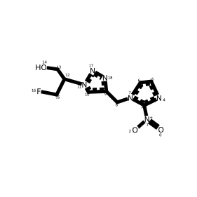 O=[N+]([O-])c1nccn1Cc1cn(C(CO)CF)nn1